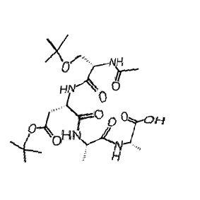 CC(=O)N[C@@H](COC(C)(C)C)C(=O)N[C@@H](CC(=O)OC(C)(C)C)C(=O)N[C@@H](C)C(=O)N[C@@H](C)C(=O)O